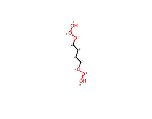 OOOCCCCOOO